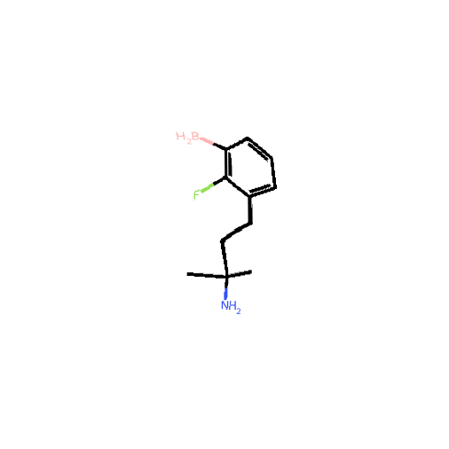 Bc1cccc(CCC(C)(C)N)c1F